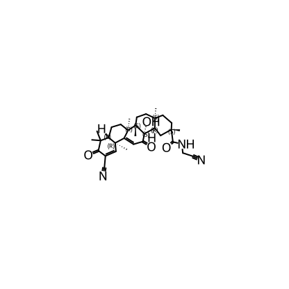 CC1(C)C(=O)C(C#N)=C[C@]2(C)C3=CC(=O)[C@]4(O)[C@@H]5C[C@@](C)(C(=O)NCC#N)CC[C@]5(C)CC[C@@]4(C)[C@]3(C)CC[C@@H]12